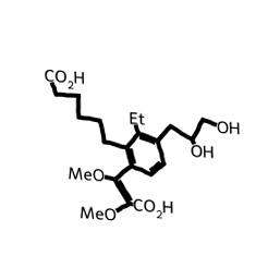 CCc1c(CC(O)CO)ccc(C(OC)=C(OC)C(=O)O)c1CCCCCC(=O)O